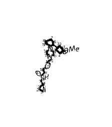 COc1ccc(-c2ccccc2N2CCN(CCOCCC(=O)NCc3cccnc3)CC2)cc1